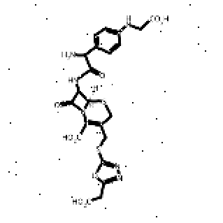 NC(C(=O)NC1C(=O)N2C(C(=O)O)=C(CSc3nnc(CC(=O)O)o3)CS[C@H]12)c1ccc(NCC(=O)O)cc1